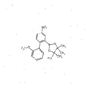 CC1(C)OB(c2cc([N+](=O)[O-])ccc2-c2ccccc2OC(F)(F)F)OC1(C)C